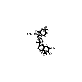 CC(=O)C[C@@H]1[C@@]2(C)C=C(C#N)C(=O)C(C)(C)[C@@H]2CC[C@@]1(C)C(C)(C)CC[C@@]1(C(=O)NNC(C)=O)CCC(C)(C)CC1C